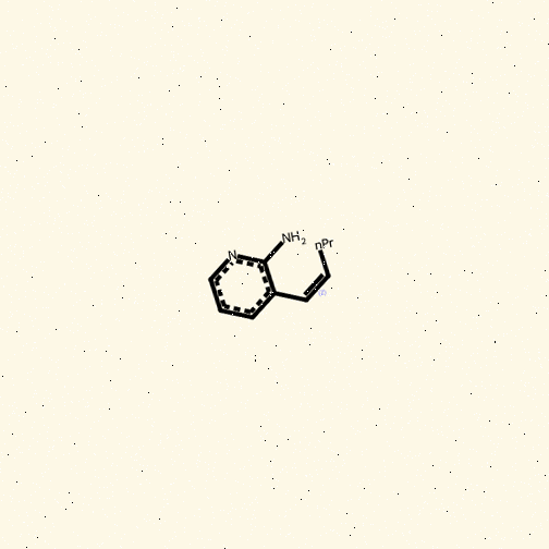 CCC/C=C\c1cccnc1N